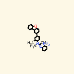 C/C(=N\c1ccccc1N)N(C)c1ccc(-c2ccc3oc4ccccc4c3c2)cc1C